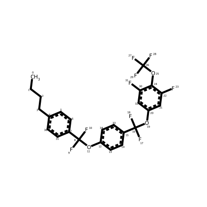 CCCCc1ccc(C(F)(F)Oc2ccc(C(F)(F)Oc3cc(F)c(OC(F)(F)F)c(F)c3)cc2)cc1